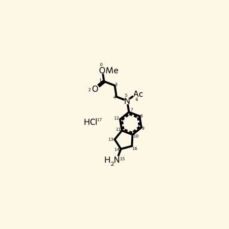 COC(=O)CCN(C(C)=O)c1ccc2c(c1)CC(N)C2.Cl